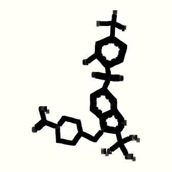 CC(=O)N1CCC(Cn2c(C(C)(C)C)nc3cc(S(=O)(=O)c4ccc(C(F)(F)F)cc4Cl)ccc32)CC1